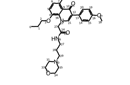 CCCOc1ccc(F)c2c(=O)c(-c3ccc(OC)cc3)cn(CC(=O)NCCCN3CCOCC3)c12